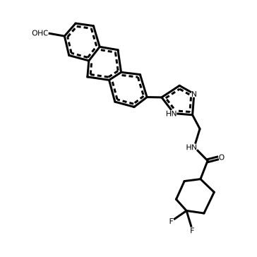 O=Cc1ccc2cc3cc(-c4cnc(CNC(=O)C5CCC(F)(F)CC5)[nH]4)ccc3cc2c1